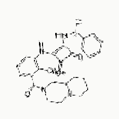 CC[C@@H](Nc1c(Nc2cccc(C(=O)N3CCN4CCCCC4C3)c2OC)c(=O)c1=O)c1ccccc1